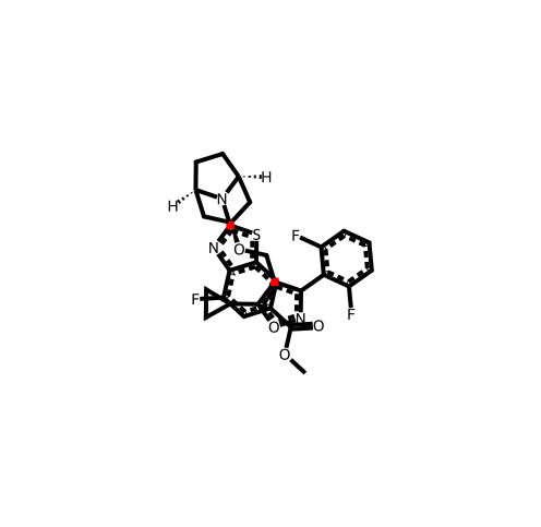 COC(=O)c1cc(F)c2nc(N3[C@@H]4CC[C@H]3C[C@@H](OCc3c(-c5c(F)cccc5F)noc3C3CC3)C4)sc2c1